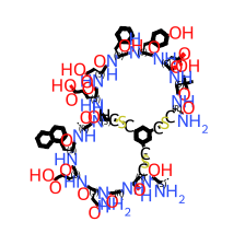 C[C@H](N)C(O)N[C@H]1CSCc2cc3cc(c2)CSC[C@@H](NC(=O)[C@@H](C)NC(=O)[C@H](Cc2cccc4ccccc24)NC(=O)[C@H](CCC(=O)O)NC(=O)[C@H](CC(N)=O)NC(=O)[C@@H](C)NC1=O)C(=O)N[C@@H](CCC(=O)O)C(=O)N[C@@H](CC(=O)O)C(=O)N[C@@H](Cc1ccccc1)C(O)N[C@@H](Cc1ccc(O)cc1)C(=O)N[C@@H](CC(=O)O)C(=O)N[C@@H](C(C)(C)C)C(=O)N[C@H](C(N)=O)CSC3